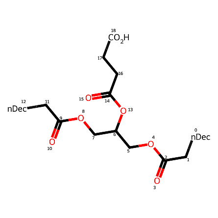 CCCCCCCCCCCC(=O)OCC(COC(=O)CCCCCCCCCCC)OC(=O)CCC(=O)O